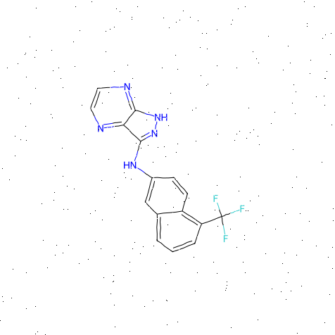 FC(F)(F)c1cccc2cc(Nc3n[nH]c4nccnc34)ccc12